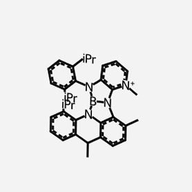 Cc1ccc2c3c1N1B(N(c4c(C(C)C)cccc4C(C)C)c4ccc[n+](C)c41)N3c1c(C(C)C)cccc1C2C